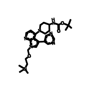 CC(C)(C)OC(=O)NC1CCN(c2ccnc3c2c(-c2cncnc2)cn3COCC[Si](C)(C)C)CC1